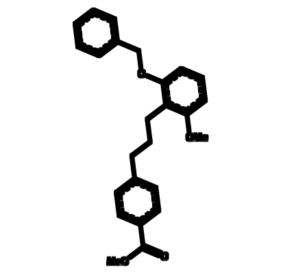 COC(=O)c1ccc(CCCc2c(OC)cccc2OCc2ccccc2)cc1